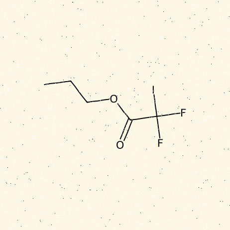 CCCOC(=O)C(F)(F)I